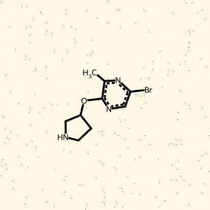 Cc1nc(Br)cnc1OC1CCNC1